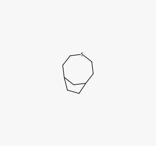 C1CC2CCC(CCS1)C2